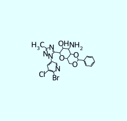 Cc1nc(C2OC3COC(c4ccccc4)OC3C(N)C2O)n(-c2cnc(Br)c(Cl)c2)n1